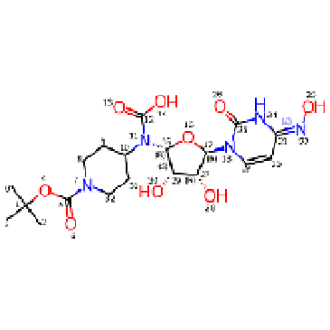 CC(C)(C)OC(=O)N1CCC(N(C(=O)O)[C@@H]2O[C@@H](n3cc/c(=N/O)[nH]c3=O)[C@H](O)[C@@H]2O)CC1